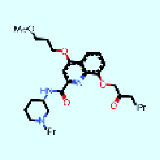 COCCCOc1cc(C(=O)N[C@@H]2CCCN(C(C)C)C2)nc2c(OCC(=O)CC(C)C)cccc12